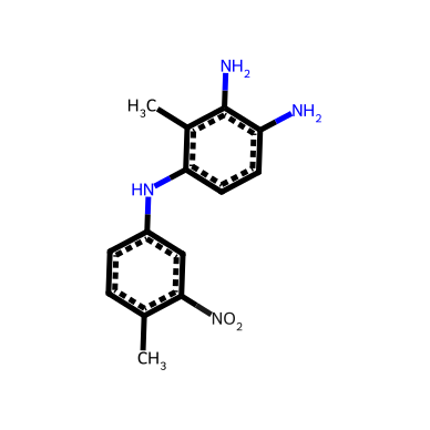 Cc1ccc(Nc2ccc(N)c(N)c2C)cc1[N+](=O)[O-]